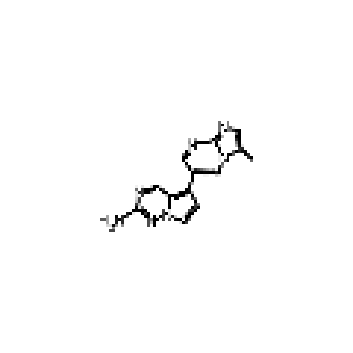 Cc1cnc2ncc(-c3ccn4nc(N)ncc34)cn12